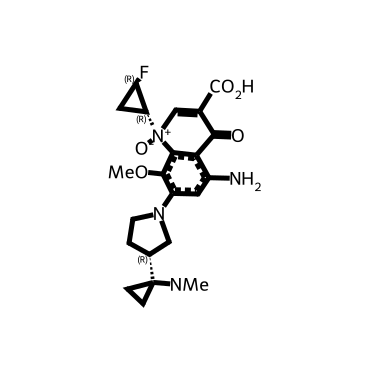 CNC1([C@@H]2CCN(c3cc(N)c4c(c3OC)[N+]([O-])([C@@H]3C[C@H]3F)C=C(C(=O)O)C4=O)C2)CC1